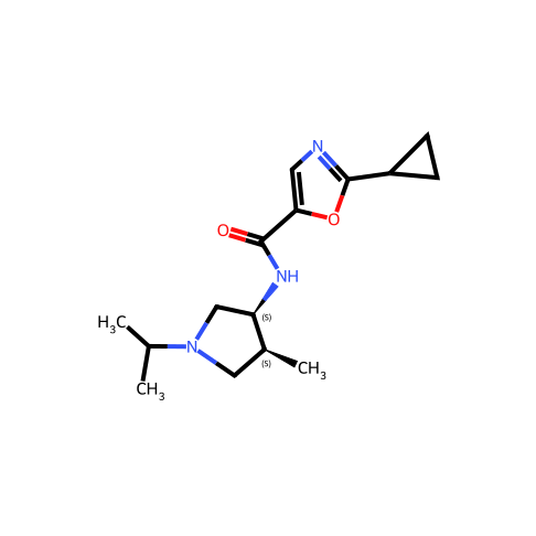 CC(C)N1C[C@H](C)[C@H](NC(=O)c2cnc(C3CC3)o2)C1